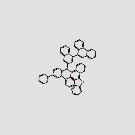 c1ccc(-c2ccc(N(c3cc(-c4cc5ccccc5c5ccccc45)c4ccccc4c3)c3cc4c5ccccc5oc4c4ccccc34)c(-c3ccccc3)c2)cc1